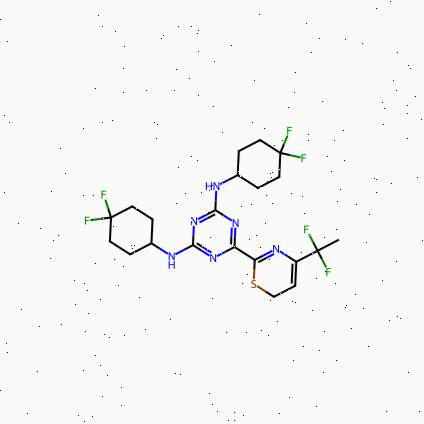 CC(F)(F)C1=CCSC(c2nc(NC3CCC(F)(F)CC3)nc(NC3CCC(F)(F)CC3)n2)=N1